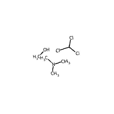 CN(C)C.CO.ClC(Cl)Cl